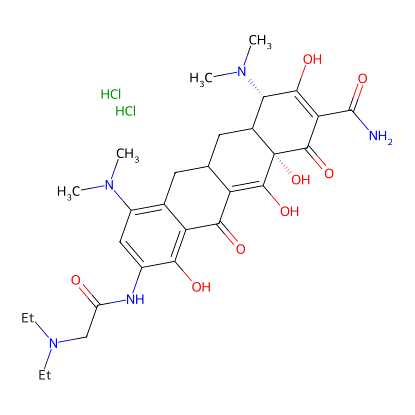 CCN(CC)CC(=O)Nc1cc(N(C)C)c2c(c1O)C(=O)C1=C(O)[C@]3(O)C(=O)C(C(N)=O)=C(O)[C@@H](N(C)C)C3CC1C2.Cl.Cl